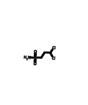 NS(=O)(=O)CCC(Cl)Cl